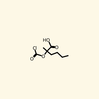 CCCCC(C)(OC(=O)Cl)C(=O)O